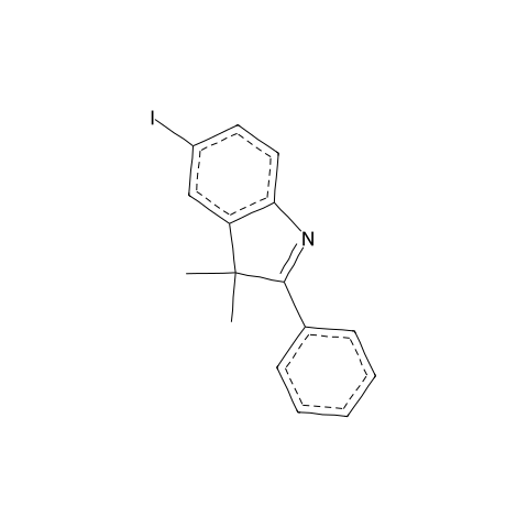 CC1(C)C(c2ccccc2)=Nc2ccc(I)cc21